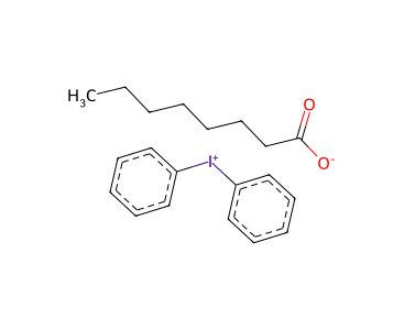 CCCCCCCC(=O)[O-].c1ccc([I+]c2ccccc2)cc1